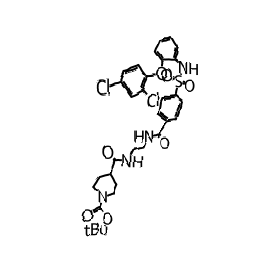 CC(C)(C)OC(=O)N1CCC(C(=O)NCCNC(=O)c2ccc(S(=O)(=O)Nc3ccccc3Oc3ccc(Cl)cc3Cl)cc2)CC1